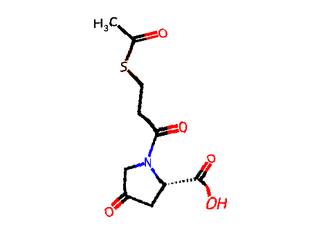 CC(=O)SCCC(=O)N1CC(=O)C[C@H]1C(=O)O